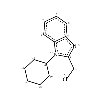 ClCc1nc2ccccc2n1C1CCCCC1